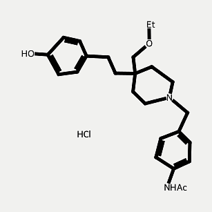 CCOCC1(CCc2ccc(O)cc2)CCN(Cc2ccc(NC(C)=O)cc2)CC1.Cl